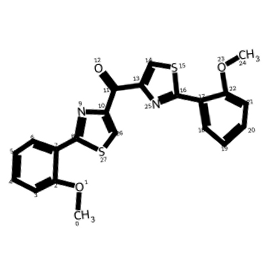 COc1ccccc1-c1nc(C(=O)c2csc(-c3ccccc3OC)n2)cs1